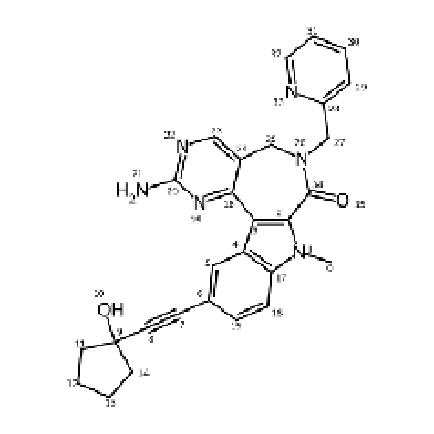 Cn1c2c(c3cc(C#CC4(O)CCCC4)ccc31)-c1nc(N)ncc1CN(Cc1ccccn1)C2=O